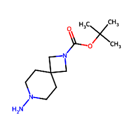 CC(C)(C)OC(=O)N1CC2(CCN(N)CC2)C1